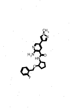 Cn1cc(-c2cnc(N)c(C(=O)NC3CCCC3OCc3ccccc3F)c2)cn1